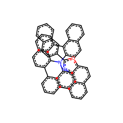 c1ccc(-c2c(N(c3ccccc3)c3ccccc3-c3cccc(-c4cccc5ccc6oc(-c7ccc8ccccc8c7)nc6c45)c3)ccc3ccccc23)cc1